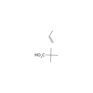 C=CC.CC(C)(C)C(=O)O